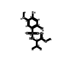 COC(=O)[C@H](NS(=O)(=O)c1cc(OC)c(F)cc1Br)C(C)C